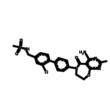 Cc1nc(N)c2c(n1)OCCN(c1ccc(-c3ccc(CNS(C)(=O)=O)cc3Cl)cc1)C2=O